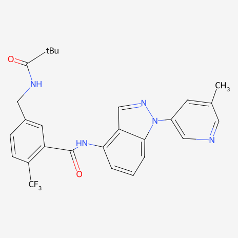 Cc1cncc(-n2ncc3c(NC(=O)c4cc(CNC(=O)C(C)(C)C)ccc4C(F)(F)F)cccc32)c1